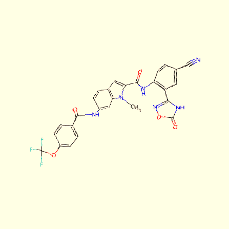 Cn1c(C(=O)Nc2ccc(C#N)cc2-c2noc(=O)[nH]2)cc2ccc(NC(=O)c3ccc(OC(F)(F)F)cc3)cc21